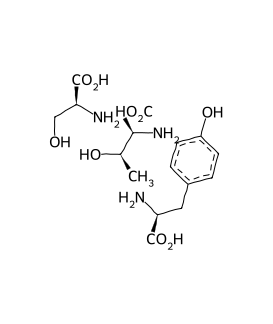 C[C@@H](O)[C@H](N)C(=O)O.N[C@@H](CO)C(=O)O.N[C@@H](Cc1ccc(O)cc1)C(=O)O